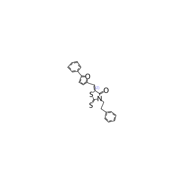 O=C1/C(=C/c2ccc(-c3ccccc3)o2)SC(=S)N1CCc1ccccc1